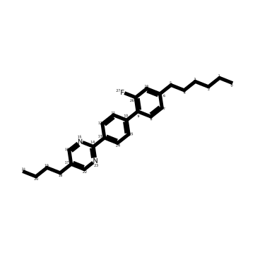 CCCCCCc1ccc(-c2ccc(-c3ncc(CCCC)cn3)cc2)c(F)c1